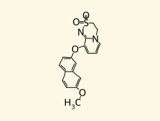 COc1ccc2ccc(OC3=CC=CN4CCS(=O)(=O)N=C34)cc2c1